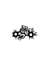 CCOP(=O)(OCC)C(Cc1ccc(F)c(F)c1)C1C(C)c2ccccc2S1(=O)=O